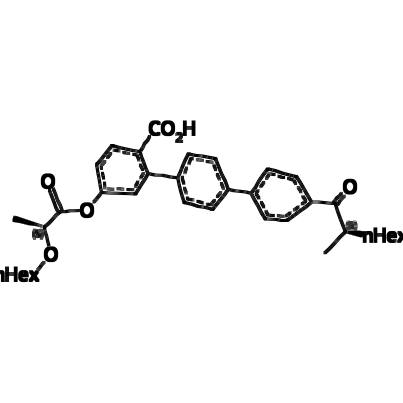 CCCCCCO[C@@H](C)C(=O)Oc1ccc(C(=O)O)c(-c2ccc(-c3ccc(C(=O)[C@H](C)CCCCCC)cc3)cc2)c1